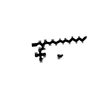 CCCCCCCCCCCCOC(CO)COS(=O)(=O)[O-].[Na+]